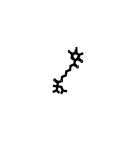 CC(C)CC(C)(C(=O)OCCCCCC(=O)n1cc(F)c(=S)n(C)c1=O)C(C)C